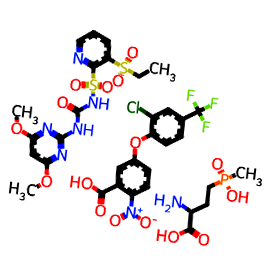 CCS(=O)(=O)c1cccnc1S(=O)(=O)NC(=O)Nc1nc(OC)cc(OC)n1.CP(=O)(O)CCC(N)C(=O)O.O=C(O)c1cc(Oc2ccc(C(F)(F)F)cc2Cl)ccc1[N+](=O)[O-]